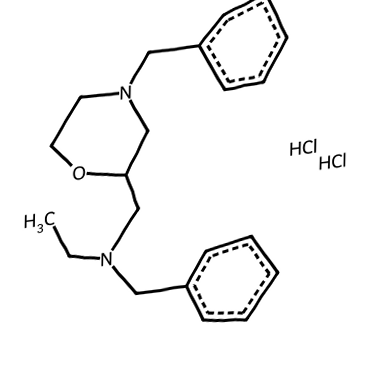 CCN(Cc1ccccc1)CC1CN(Cc2ccccc2)CCO1.Cl.Cl